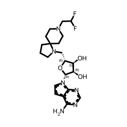 Nc1ncnc2c1ccn2[C@@H]1O[C@H](CN2CCCC23CCN(CC(F)F)CC3)[C@@H](O)[C@H]1O